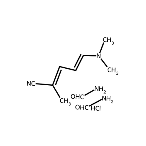 CC(C#N)=CC=CN(C)C.Cl.NC=O.NC=O